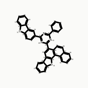 c1ccc(-c2nc(-c3ccc4oc5ccccc5c4c3)nc(-c3cc4c5ccccc5sc4c4c3ccc3ccccc34)n2)cc1